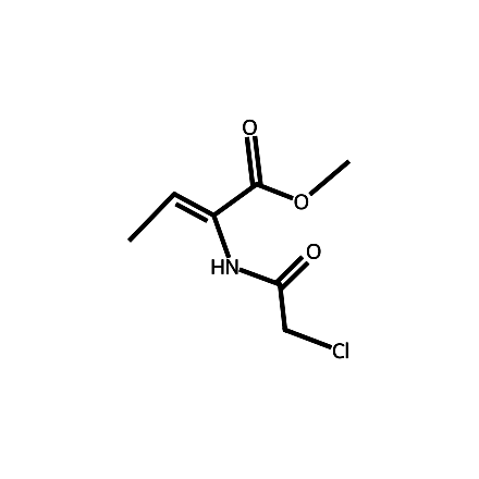 CC=C(NC(=O)CCl)C(=O)OC